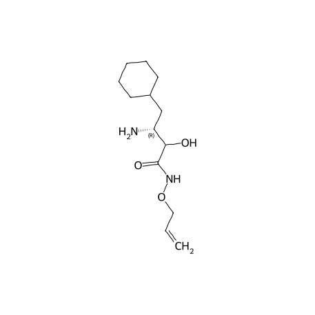 C=CCONC(=O)C(O)[C@H](N)CC1CCCCC1